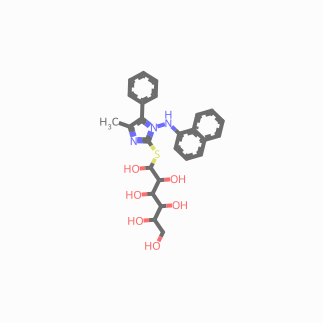 Cc1nc(SC(O)C(O)C(O)C(O)C(O)CO)n(Nc2cccc3ccccc23)c1-c1ccccc1